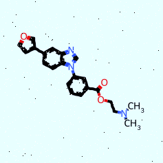 CN(C)CCOC(=O)c1cccc(-n2cnc3cc(-c4ccoc4)ccc32)c1